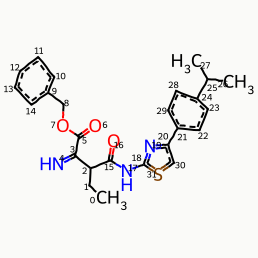 CCC(C(=N)C(=O)OCc1ccccc1)C(=O)Nc1nc(-c2ccc(C(C)C)cc2)cs1